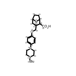 CC(C)(C)N1CCN(c2ccc(OCC3CC4CCC(N4)C3C(=O)O)cc2)CC1